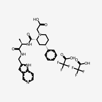 C[C@@H](NC(=O)[C@H]1C[C@@H](c2ccccc2)CCN1CC(=O)O)C(=O)NCc1cc2cnccc2[nH]1.O=C(O)C(F)(F)F.O=C(O)C(F)(F)F